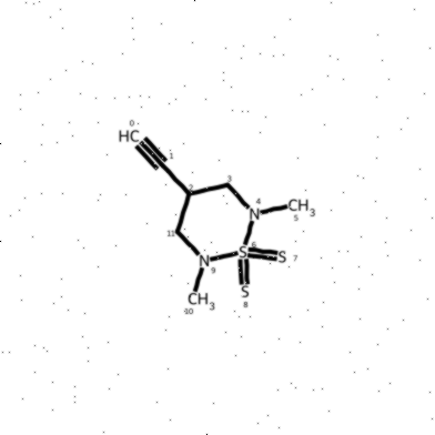 C#CC1CN(C)S(=S)(=S)N(C)C1